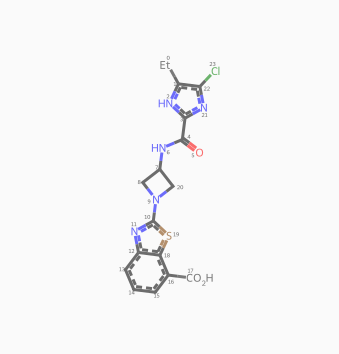 CCc1[nH]c(C(=O)NC2CN(c3nc4cccc(C(=O)O)c4s3)C2)nc1Cl